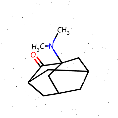 CN(C)C12CC3CC(CC(C3)C1=O)C2